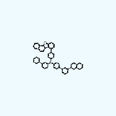 c1ccc(-c2cccc(N(c3ccc(-c4cccc(-c5ccc6ccccc6c5)c4)cc3)c3ccc(-c4cccc5oc6c7ccccc7ccc6c45)cc3)c2)cc1